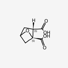 O=C(O)[C@H]1CC2C[C@]1(C(=O)O)O2